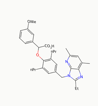 CCCc1cc(Cn2c(CC)nc3c(C)cc(C)nc32)cc(CCC)c1OC(C(=O)O)c1cccc(OC)c1